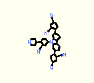 N#Cc1ccc(-c2ccc3c4ccc(-c5ccc(C#N)cc5C#N)cc4n(-c4ccc(-c5ccncc5)c(C#N)c4)c3c2)c(C#N)c1